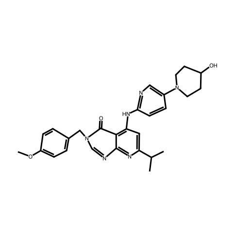 COc1ccc(Cn2cnc3nc(C(C)C)cc(Nc4ccc(N5CCC(O)CC5)cn4)c3c2=O)cc1